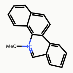 CO[n+]1cc2ccccc2c2ccc3ccccc3c21